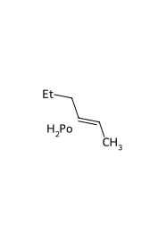 CC=CCCC.[PoH2]